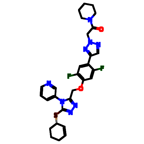 O=C(Cn1ncc(-c2cc(F)c(OCc3nnc(S[C@@H]4C=CCCC4)n3-c3cccnc3)cc2F)n1)N1CCCCC1